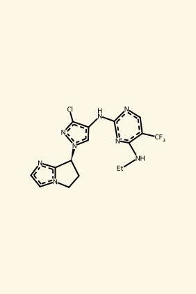 CCNc1nc(Nc2cn([C@H]3CCn4ccnc43)nc2Cl)ncc1C(F)(F)F